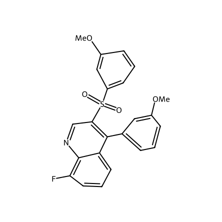 COc1cccc(-c2c(S(=O)(=O)c3cccc(OC)c3)cnc3c(F)cccc23)c1